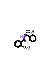 O=C(O)c1ccccc1C(=O)N[C@H](C(=O)O)c1ccccc1